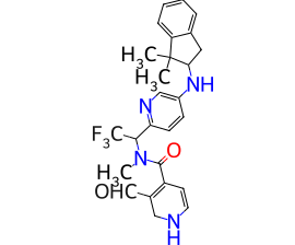 CN(C(=O)C1=C(C=O)CNC=C1)C(c1ccc(NC2Cc3ccccc3C2(C)C)cn1)C(F)(F)F